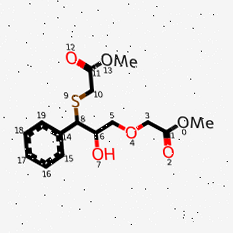 COC(=O)COCC(O)C(SCC(=O)OC)c1ccccc1